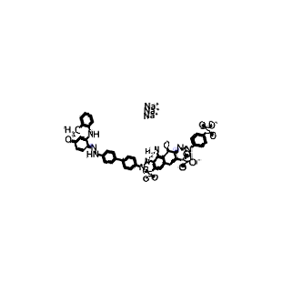 Cc1ccccc1NC1=CC(=O)C=C/C1=N\Nc1ccc(-c2ccc(N=Nc3c(S(=O)(=O)[O-])cc4c(c3N)C(=O)/C(=N/Nc3ccc(S(=O)(=O)[O-])cc3)C(S(=O)(=O)[O-])=C4)cc2)cc1.[Na+].[Na+].[Na+]